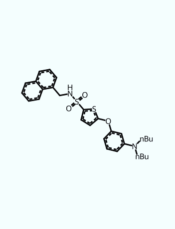 CCCCN(CCCC)c1cccc(Oc2ccc(S(=O)(=O)NCc3cccc4ccccc34)s2)c1